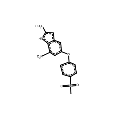 CS(=O)(=O)c1ccc(Oc2cc([N+](=O)[O-])c3[nH]c(C(=O)O)cc3c2)cc1